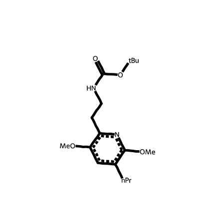 CCCc1cc(OC)c(CCNC(=O)OC(C)(C)C)nc1OC